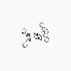 c1ccc(-c2cc(-c3ccccc3)nc(-c3cnc(-n4c5ccccc5c5ccc6c7ccccc7sc6c54)cn3)n2)cc1